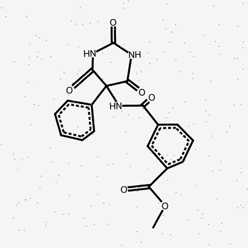 COC(=O)c1cccc(C(=O)NC2(c3ccccc3)C(=O)NC(=O)NC2=O)c1